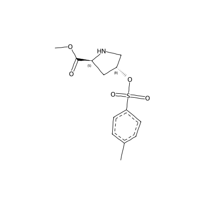 COC(=O)[C@@H]1C[C@@H](OS(=O)(=O)c2ccc(C)cc2)CN1